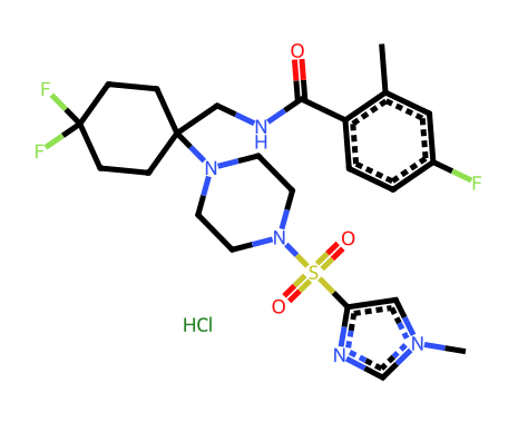 Cc1cc(F)ccc1C(=O)NCC1(N2CCN(S(=O)(=O)c3cn(C)cn3)CC2)CCC(F)(F)CC1.Cl